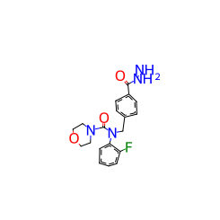 NNC(=O)c1ccc(CN(C(=O)N2CCOCC2)c2ccccc2F)cc1